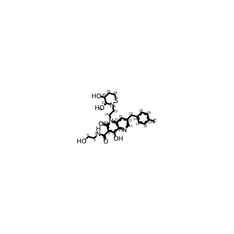 O=C(NCCO)c1c(O)c2ncc(Cc3ccc(F)cc3)cc2n(CCN2SCCC(O)C2O)c1=O